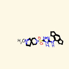 CN1CCC2(CCN(S(=O)(=O)c3nnc(Nc4c5c(cc6c4CCC6)CCC5)[nH]3)CC2)C1